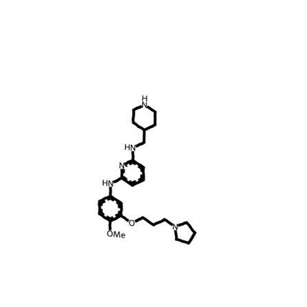 COc1ccc(Nc2cccc(NCC3CCNCC3)n2)cc1OCCCN1CCCC1